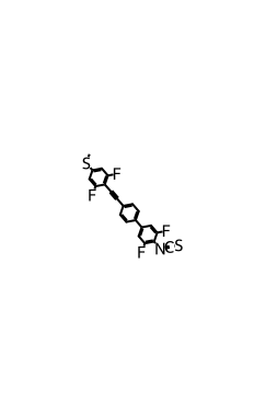 CSc1cc(F)c(C#Cc2ccc(-c3cc(F)c(N=C=S)c(F)c3)cc2)c(F)c1